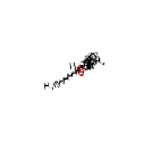 CCCCCCCCCCCC(=O)OC1CC[C@H]2[C@@H]3CC=C4CCCC[C@]4(C)[C@H]3CC[C@]12C